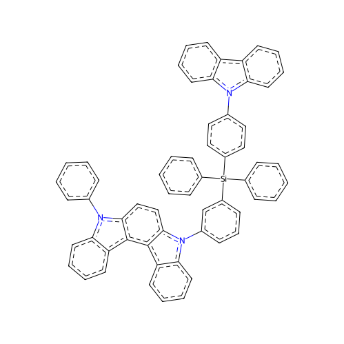 c1ccc(-n2c3ccccc3c3c4c5ccccc5n(-c5cccc([Si](c6ccccc6)(c6ccccc6)c6ccc(-n7c8ccccc8c8ccccc87)cc6)c5)c4ccc32)cc1